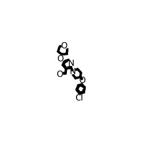 O=Cc1cc(OC2CCOCC2)cnc1N1CCC(Oc2ccc(Cl)cc2)CC1